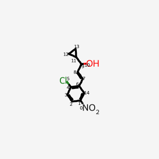 O=[N+]([O-])c1ccc(Cl)c(/C=C/C(O)C2CC2)c1